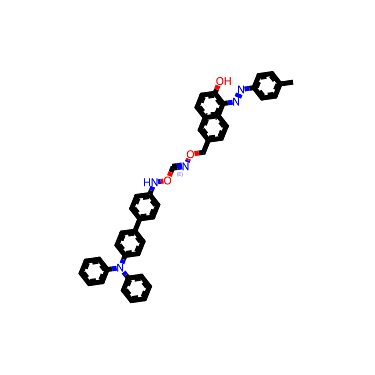 Cc1ccc(N=Nc2c(O)ccc3cc(CO/N=C/ONc4ccc(-c5ccc(N(c6ccccc6)c6ccccc6)cc5)cc4)ccc23)cc1